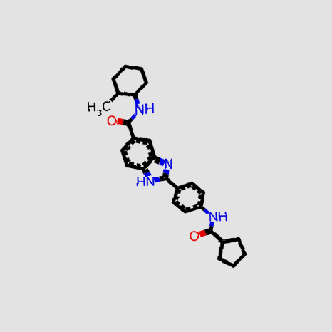 CC1CCCCC1NC(=O)c1ccc2[nH]c(-c3ccc(NC(=O)C4CCCC4)cc3)nc2c1